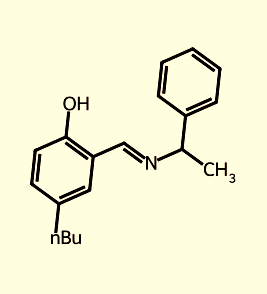 CCCCc1ccc(O)c(C=NC(C)c2ccccc2)c1